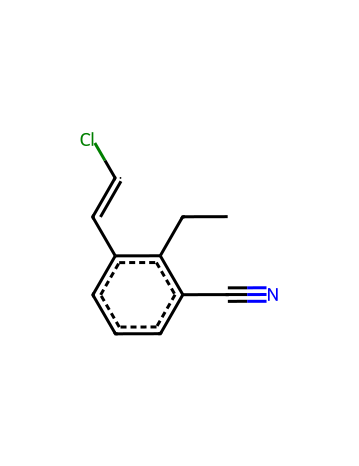 CCc1c(C#N)cccc1C=[C]Cl